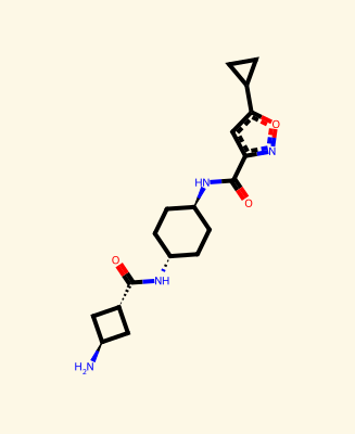 N[C@H]1C[C@H](C(=O)N[C@H]2CC[C@H](NC(=O)c3cc(C4CC4)on3)CC2)C1